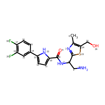 Cc1nc(C(CN)NC(=O)c2ccc(-c3ccc(F)c(F)c3)[nH]2)sc1CO